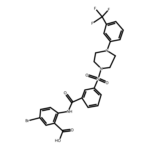 O=C(Nc1ccc(Br)cc1C(=O)O)c1cccc(S(=O)(=O)N2CCN(c3cccc(C(F)(F)F)c3)CC2)c1